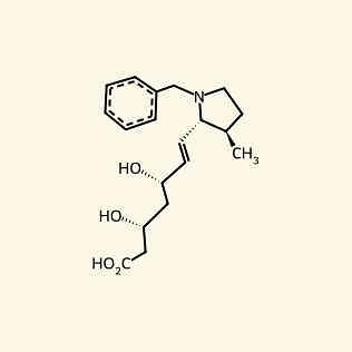 C[C@@H]1CCN(Cc2ccccc2)[C@H]1C=C[C@@H](O)C[C@@H](O)CC(=O)O